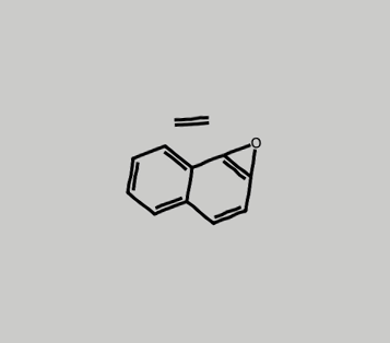 C=C.c1ccc2c3c(ccc2c1)O3